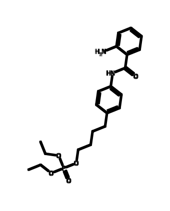 CCOP(=O)(OCC)OCCCCc1ccc(NC(=O)c2ccccc2N)cc1